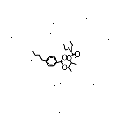 CCCCc1ccc(C(=O)OC(C)C(C)OC(=O)N(CC)CC)cc1